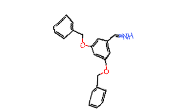 N=Cc1cc(OCc2ccccc2)cc(OCc2ccccc2)c1